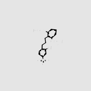 CS(=O)(=O)c1ccc(CCCc2c(C(=O)O)cccc2C(=O)O)c(Cl)c1